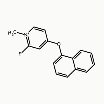 C[n+]1ccc(Oc2cccc3ccccc23)cc1F